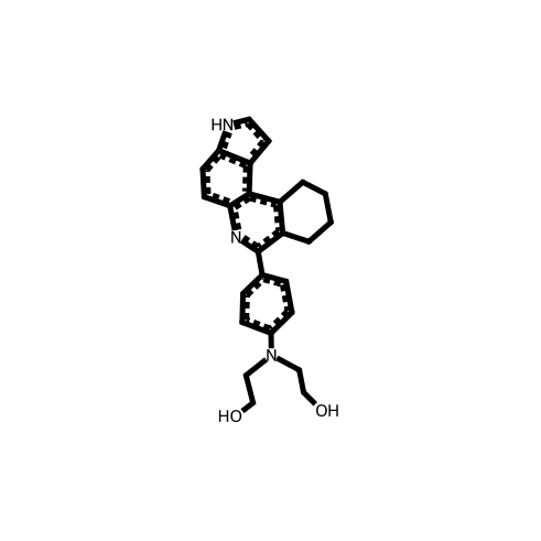 OCCN(CCO)c1ccc(-c2nc3ccc4[nH]ccc4c3c3c2CCCC3)cc1